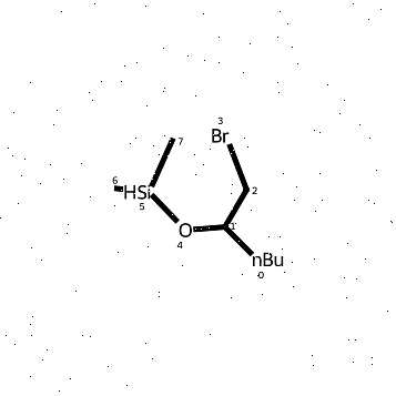 CCCCC(CBr)O[SiH](C)C